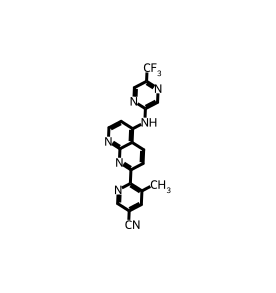 Cc1cc(C#N)cnc1-c1ccc2c(Nc3cnc(C(F)(F)F)cn3)ccnc2n1